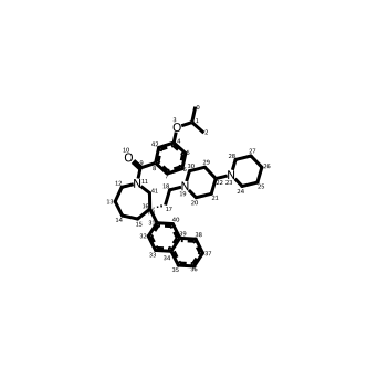 CC(C)Oc1cccc(C(=O)N2CCCC[C@](CCN3CCC(N4CCCCC4)CC3)(c3ccc4ccccc4c3)C2)c1